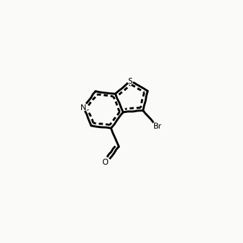 O=Cc1cncc2scc(Br)c12